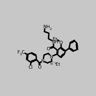 CCOc1c(-c2ccccc2)ccc(N2CCN(C(=O)c3ccc(C(F)(F)F)cc3Cl)C[C@H]2CC)c1C(=O)NCCCN